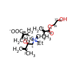 C=C(C)C(=O)C[N+](C)(C)CC.C=C(C)C(=O)OCCO.C=C(C)C(=O)[O-]